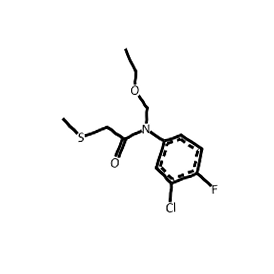 CCOCN(C(=O)CSC)c1ccc(F)c(Cl)c1